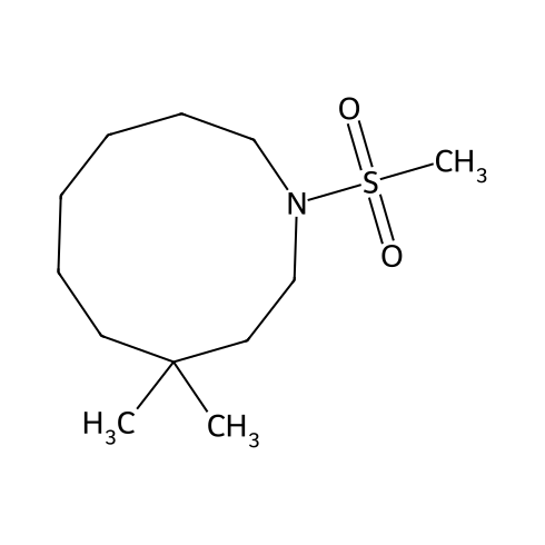 CC1(C)CCCCCCN(S(C)(=O)=O)CC1